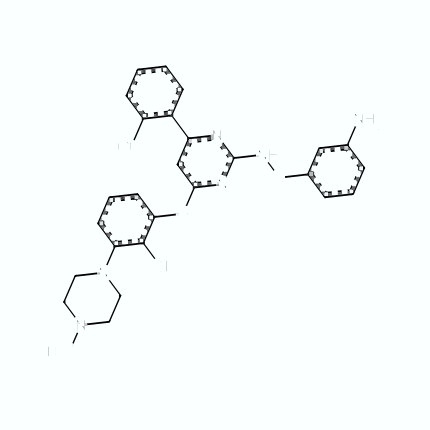 CC(C)c1ccccc1-c1cc(Oc2cccc(N3CCN(C)CC3)c2Cl)nc(NSc2cccc(N)c2)n1